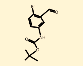 CC(C)(C)OC(=O)Nc1ccc(Br)c(C=O)c1